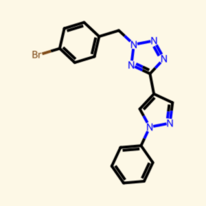 Brc1ccc(Cn2nnc(-c3cnn(-c4ccccc4)c3)n2)cc1